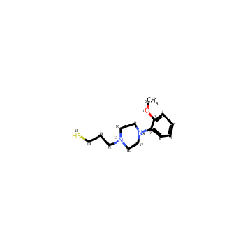 COc1ccccc1N1CCN(CCCS)CC1